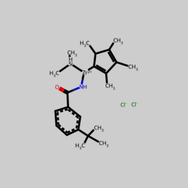 CC1=C(C)C(C)[C]([Zr+2]([NH]C(=O)c2cccc(C(C)(C)C)c2)[SiH](C)C)=C1C.[Cl-].[Cl-]